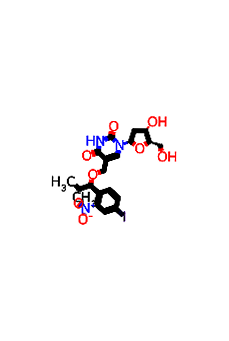 CC(C)C(OCc1cn([C@H]2C[C@H](O)[C@@H](CO)O2)c(=O)[nH]c1=O)c1ccc(I)cc1[N+](=O)[O-]